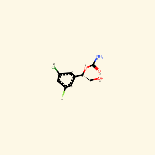 NC(=O)O[C@H](CO)c1cc(F)cc(Cl)c1